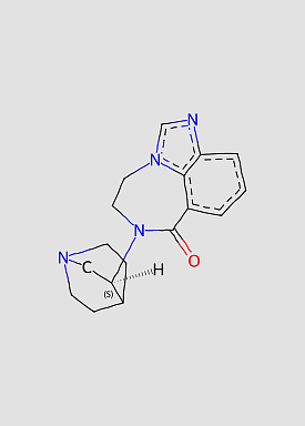 O=C1c2cccc3ncn(c23)CCN1[C@@H]1CN2CCC1CC2